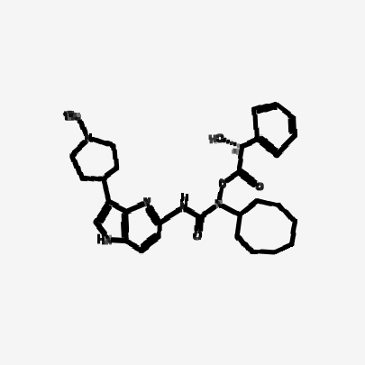 CC(C)(C)N1CCC(c2c[nH]c3ccc(NC(=O)N(OC(=O)[C@H](O)c4ccccc4)C4CCCCCCC4)nc23)CC1